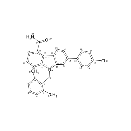 Cc1cccc(C)c1Cn1c2cc(-c3ccc(Cl)cc3)c[c]c2c2c(C(N)=O)cccc21